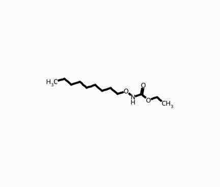 CCCCCCCCCONC(=O)OCC